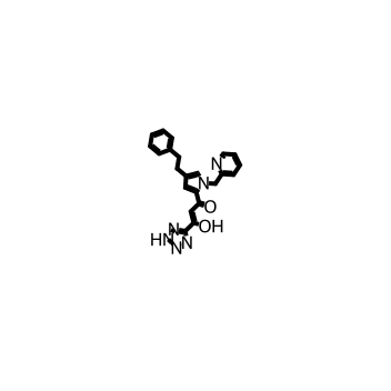 O=C(C=C(O)c1nn[nH]n1)c1cc(CCc2ccccc2)cn1Cc1ccccn1